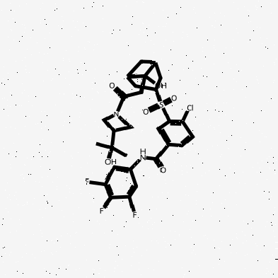 CC(C)(O)C1CN(C(=O)CC2(O)C3CC2CC(S(=O)(=O)c2cc(C(=O)Nc4cc(F)c(F)c(F)c4)ccc2Cl)C3)C1